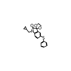 O=C1N(CC2CC2)c2ccc(Sc3ccccc3)cc2C12OCCO2